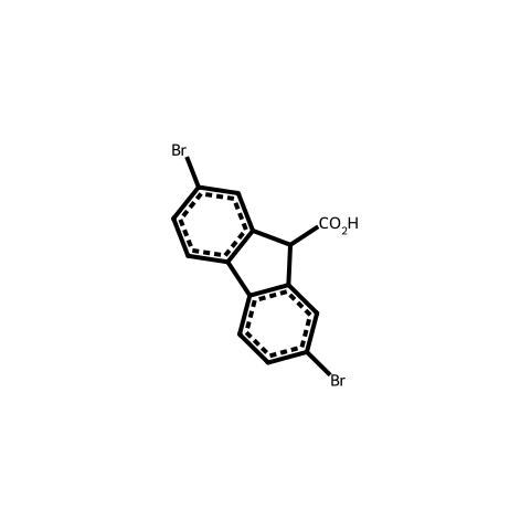 O=C(O)C1c2cc(Br)ccc2-c2ccc(Br)cc21